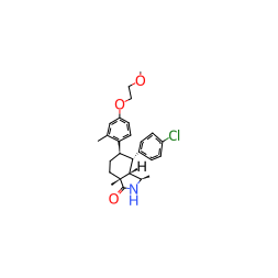 COCCOc1ccc([C@@H]2CC[C@@]3(C)C(=O)N[C@H](C)[C@H]3[C@H]2c2ccc(Cl)cc2)c(C)c1